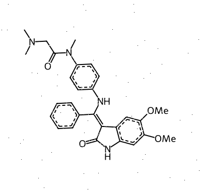 COc1cc2c(cc1OC)/C(=C(\Nc1ccc(N(C)C(=O)CN(C)C)cc1)c1ccccc1)C(=O)N2